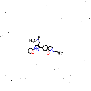 [CH2]CN(C)Cc1cn(C2CCCCO2)nc1C1CCC2(CC1)CCN(CCC(C)C)C2=O